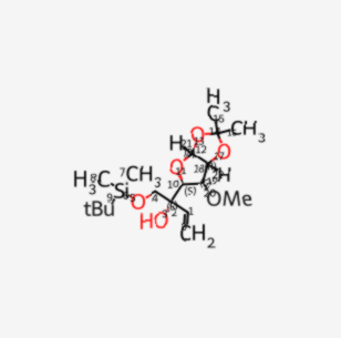 C=C[C@@](O)(CO[Si](C)(C)C(C)(C)C)[C@H]1O[C@@H]2OC(C)(C)O[C@@H]2[C@H]1OC